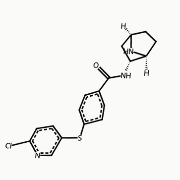 O=C(N[C@@H]1C[C@H]2CC[C@@H]1N2)c1ccc(Sc2ccc(Cl)nc2)cc1